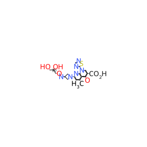 Cc1cc(N2CC(=NOC[C@H](O)CO)C2)nc2c1c(=O)c(C(=O)O)cn2-c1ncns1